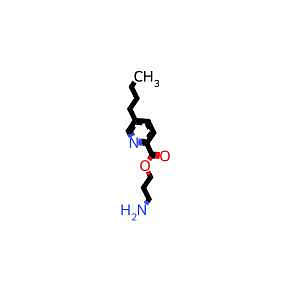 CCCCc1ccc(C(=O)OCCCN)nc1